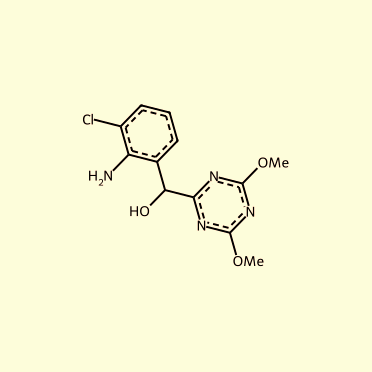 COc1nc(OC)nc(C(O)c2cccc(Cl)c2N)n1